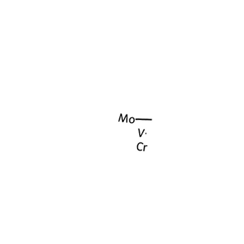 [CH3][Mo].[Cr].[V]